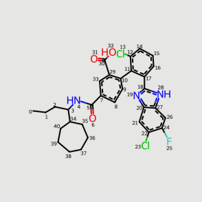 CCCC(NC(=O)c1ccc(-c2c(Cl)cccc2-c2nc3cc(Cl)c(F)cc3[nH]2)c(C(=O)O)c1)C1CCCCCC1